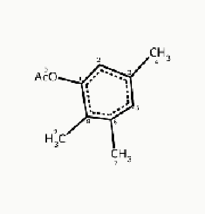 CC(=O)Oc1cc(C)[c]c(C)c1C